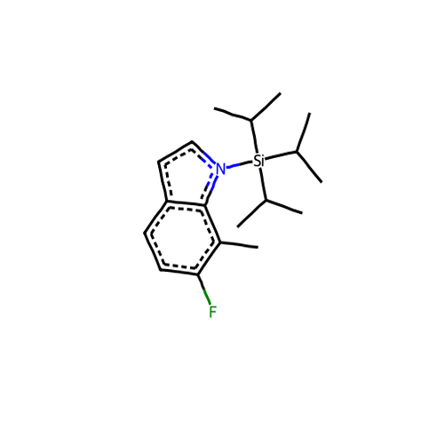 Cc1c(F)ccc2ccn([Si](C(C)C)(C(C)C)C(C)C)c12